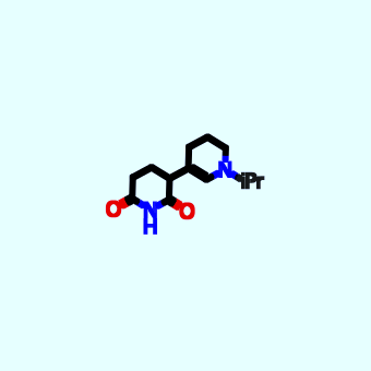 CC(C)N1C=C(C2CCC(=O)NC2=O)CCC1